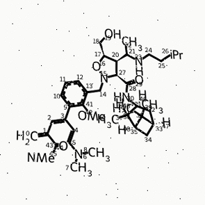 C=C(/C=C(\C=C\N(C)C)c1cccc(CN2O[C@@H](CO)[C@@H](C(C)NCCC(C)C)[C@H]2C(=O)N[C@H]2C[C@H]3C[C@@H]([C@@H]2C)C3(C)C)c1OC)C(=O)NC